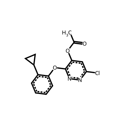 CC(=O)Oc1cc(Cl)nnc1Oc1ccccc1C1CC1